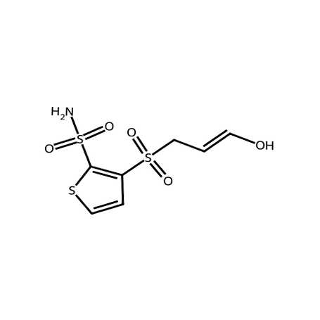 NS(=O)(=O)c1sccc1S(=O)(=O)CC=CO